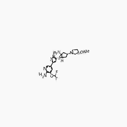 CO[C@H]1CCN(C2C[C@@H]3[C@H](C2)[C@H]3c2cc(-c3cnc(N)c(OC(F)F)c3)nn2C(C)C)C1